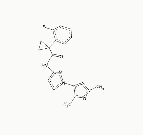 Cc1nn(C)cc1-n1ccc(NC(=O)C2(c3ccccc3F)CC2)n1